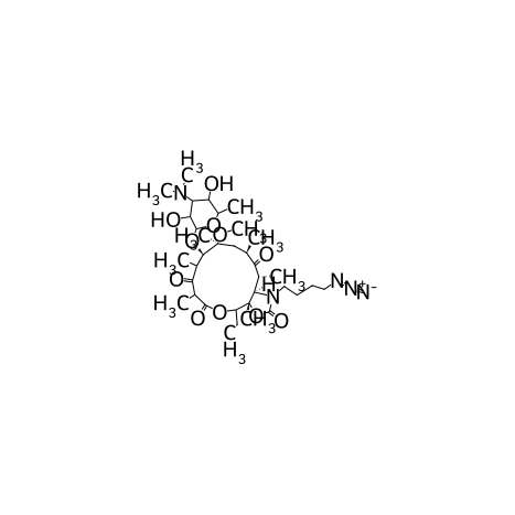 CCC1OC(=O)C(C)C(=O)C(C)[C@@H](OC2OC(C)C(O)C(N(C)C)C2O)[C@@](C)(OC)C[C@@H](C)C(=O)[C@H](C)[C@H]2N(CCCCN=[N+]=[N-])C(=O)O[C@]12C